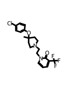 CC1(Oc2ccc(Cl)cc2)CCN(CCn2cccc(C(F)(F)F)c2=O)CC1